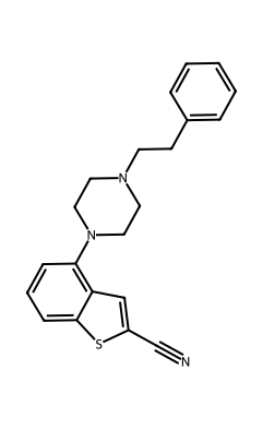 N#Cc1cc2c(N3CCN(CCc4ccccc4)CC3)cccc2s1